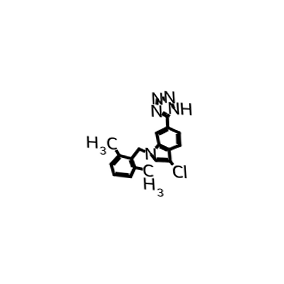 Cc1cccc(C)c1Cn1cc(Cl)c2ccc(-c3nnn[nH]3)cc21